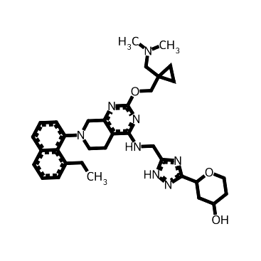 CCc1cccc2cccc(N3CCc4c(nc(OCC5(CN(C)C)CC5)nc4NCc4nc(C5CC(O)CCO5)n[nH]4)C3)c12